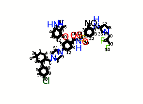 CC1(C)CCC(CN2CCN(c3ccc(C(=O)NS(=O)(=O)c4ccc(NC5CCN(C[C@@H](F)CF)C5)c([N+](=O)[O-])c4)c(Oc4cccc5[nH]ncc45)c3)CC2)=C(c2ccc(Cl)cc2)C1